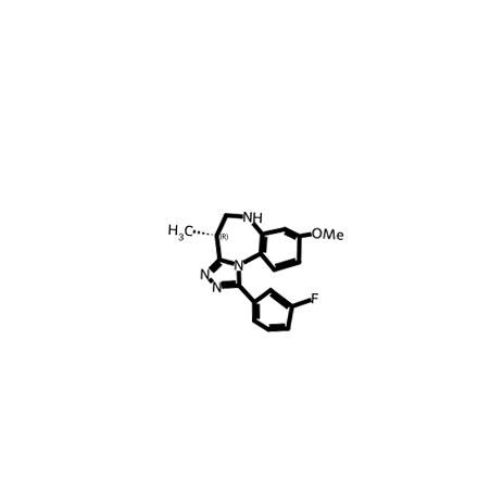 COc1ccc2c(c1)NC[C@@H](C)c1nnc(-c3cccc(F)c3)n1-2